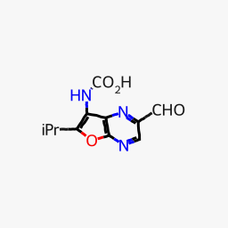 CC(C)c1oc2ncc(C=O)nc2c1NC(=O)O